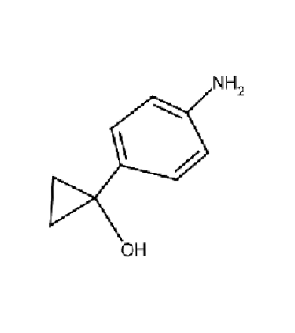 Nc1ccc(C2(O)CC2)cc1